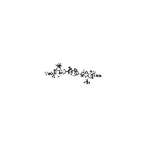 COC(=O)N[C@H](C(=O)N1CCN(S(C)(=O)=O)C[C@H]1c1nc(-c2ccc(-c3cc4ccc3CCc3ccc(c(-c5ccc(-c6c[nH]c([C@@H]7CN(S(C)(=O)=O)CCN7C(=O)[C@@H](NC(=O)OC)C(C)C)n6)cc5)c3)C[C@H]4C)cc2)c[nH]1)C(C)C